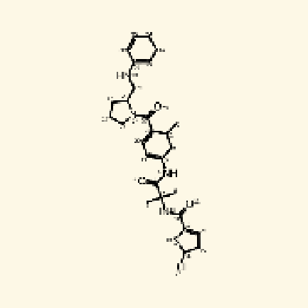 CC1CC(NC(=O)C(C)(C)NC(=O)C2=CCC(Cl)S2)=CC=C1C(=O)N1CCCC1CNC1=CCCC=C1